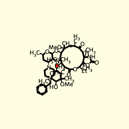 CC[C@H]1OC(=O)[C@H](C)[C@@H](O[C@H]2C[C@@](C)(OC)[C@@H](O)[C@H](C)O2)[C@H](C)[C@@H](O[C@@H]2O[C@H](C)C[C@@H](N3CCN(Cc4ccccc4)CC3)[C@@H]2N(C)C)[C@@](C)(OC)C[C@@H](C)C(=O)[C@H](C)[C@H]2NC(=O)O[C@@]21C